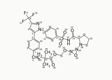 Cc1ccc(-c2cc(C(F)(F)F)nn2-c2ccc(S(=O)(=O)NC(=O)C3CCCN3n3on3OCOC(=O)C(C)(C)C)cc2)cc1